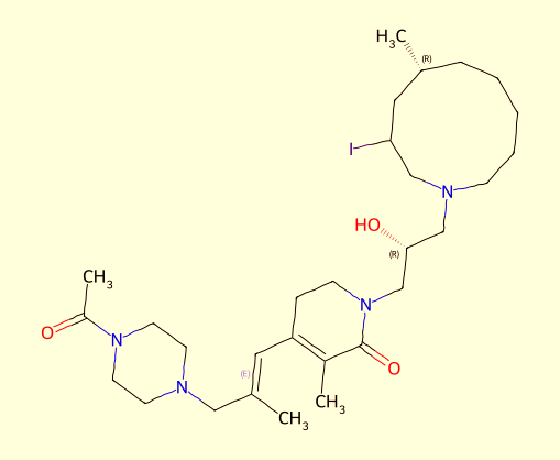 CC(=O)N1CCN(C/C(C)=C/C2=C(C)C(=O)N(C[C@H](O)CN3CCCCC[C@@H](C)CC(I)C3)CC2)CC1